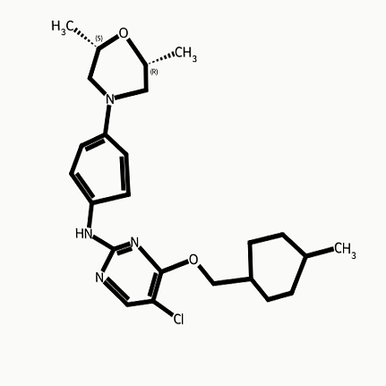 CC1CCC(COc2nc(Nc3ccc(N4C[C@@H](C)O[C@@H](C)C4)cc3)ncc2Cl)CC1